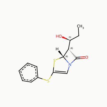 CC[C@H](O)[C@@H]1C(=O)N2C=C(Sc3ccccc3)S[C@H]12